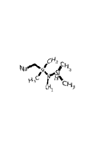 CN([SiH](C)C)[Si](C)(C)[CH2][Na]